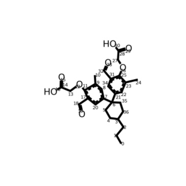 CCCC1CCC(c2cc(C)c(OCC(=O)O)c(C=O)c2)(c2cc(C)c(OCC(=O)O)c(C=O)c2)CC1